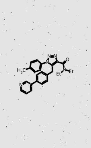 CCN(CC)C(=O)c1nnn(-c2ccc(C)cc2)c1Cc1ccc(-c2cccnc2)cc1